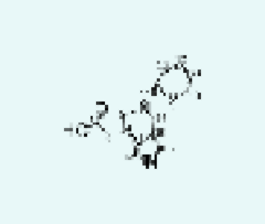 O=C(O)CC1CN(Cc2ccccc2)Cc2cncn21